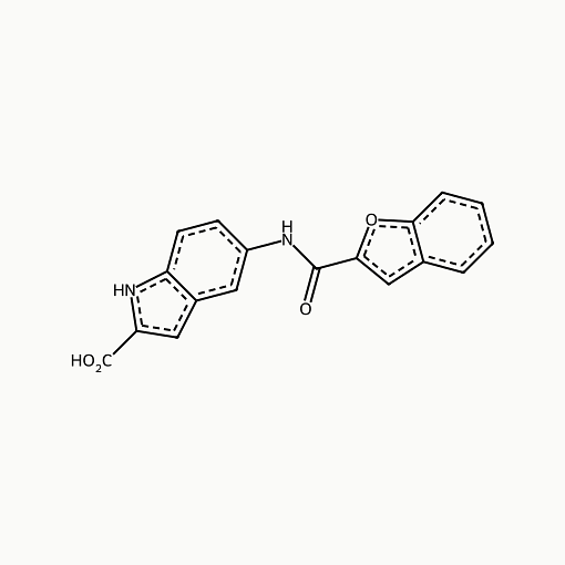 O=C(O)c1cc2cc(NC(=O)c3cc4ccccc4o3)ccc2[nH]1